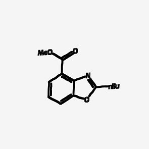 CCCCc1nc2c(C(=O)OC)cccc2o1